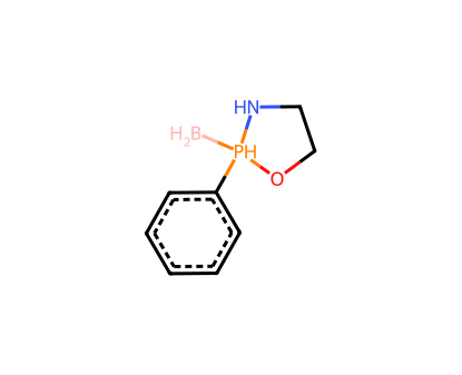 B[PH]1(c2ccccc2)NCCO1